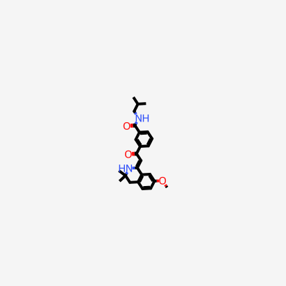 COc1ccc2c(c1)C(=CC(=O)c1cccc(C(=O)NCC(C)C)c1)NC(C)(C)C2